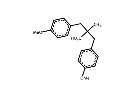 COc1ccc(CC(C)(Cc2ccc(OC)cc2)C(=O)O)cc1